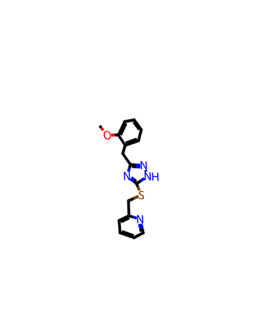 COc1ccccc1Cc1n[nH]c(SCc2ccccn2)n1